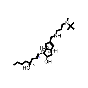 CCCC[C@](C)(O)C/C=C/[C@@H]1[C@H]2CC(CNCCCN(C)C(C)(C)C)=C[C@H]2C[C@H]1O